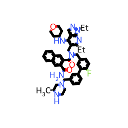 CCc1nc2c(cnn2CC)c(NC2CCOCC2)c1CN(Cc1ccc(F)c(-c2cccc(CN3CCN[C@@H](C)C3)c2)c1)C(=O)c1cc2ccccc2cc1C(N)=O